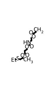 C=CC(=O)OCCNC(=O)OCCC(=O)OC(C)CSCC